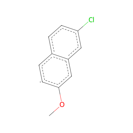 COc1[c]cc2ccc(Cl)cc2c1